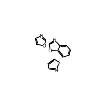 c1ccc2ocnc2c1.c1cnsc1.c1cocn1